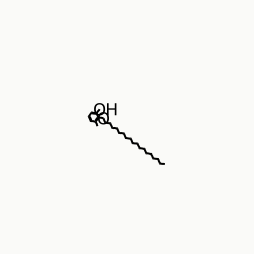 CCCCCCCCCCCCCCCCCCOc1c(C)cccc1O